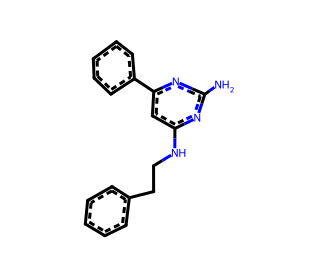 Nc1nc(NCCc2ccccc2)cc(-c2ccccc2)n1